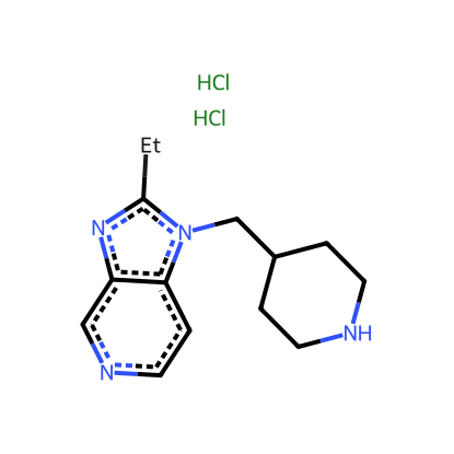 CCc1nc2cnccc2n1CC1CCNCC1.Cl.Cl